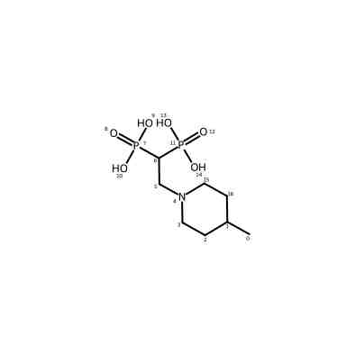 CC1CCN(CC(P(=O)(O)O)P(=O)(O)O)CC1